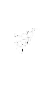 C[C@]12CCC3C(C(C4CC4)CC4=CC(=N)CC[C@@H]43)C1C1CC1[C@@]21C=CCO1